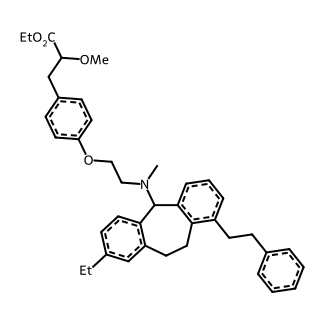 CCOC(=O)C(Cc1ccc(OCCN(C)C2c3ccc(CC)cc3CCc3c(CCc4ccccc4)cccc32)cc1)OC